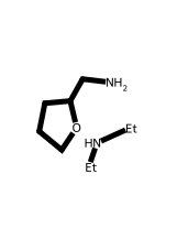 CCNCC.NCC1CCCO1